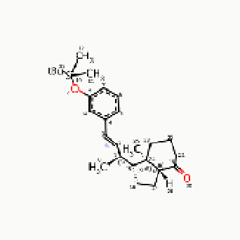 C[C@@H](/C=C/c1cccc(O[Si](C)(C)C(C)(C)C)c1)[C@H]1CC[C@H]2C(=O)CCC[C@]12C